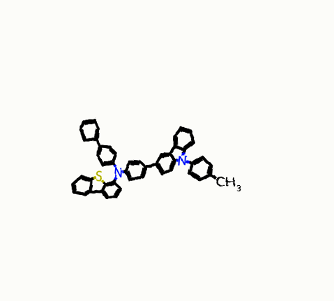 Cc1ccc(-n2c3ccccc3c3cc(-c4ccc(N(c5ccc(-c6ccccc6)cc5)c5cccc6c5sc5ccccc56)cc4)ccc32)cc1